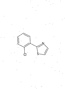 Clc1[c]cccc1-c1nccs1